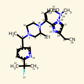 CCC1CN(C(C)c2ccc(C(C)(C)F)nc2)CCN1/C(=C/C=O)c1nc(CC#N)cn1N(C)C